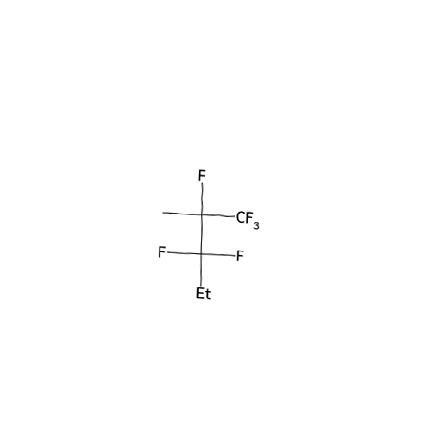 CCC(F)(F)C(C)(F)C(F)(F)F